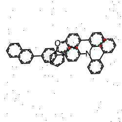 c1ccc(-c2ccccc2N(c2ccc(-c3ccc(-c4ccc5ccccc5c4)cc3)cc2)c2ccccc2-c2ccc3oc4ccccc4c3c2)cc1